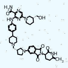 C=C1CCC(N2C(=O)c3ccc(N4CC[C@H](CN5CCC(c6ccc(Nc7nc(N8CCC[C@@H](CO)C8)cnc7C(N)=O)cc6)CC5)C4)cc3C2=O)C(=O)N1